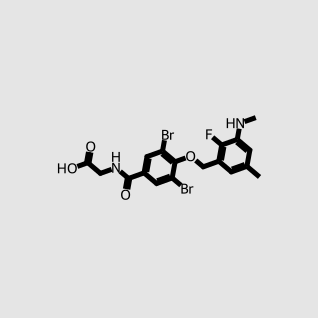 CNc1cc(C)cc(COc2c(Br)cc(C(=O)NCC(=O)O)cc2Br)c1F